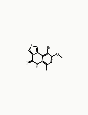 COc1cc(C)c2[nH]c(=O)c3cscc3c2c1Br